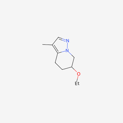 CCOC1CCc2c(C)cnn2C1